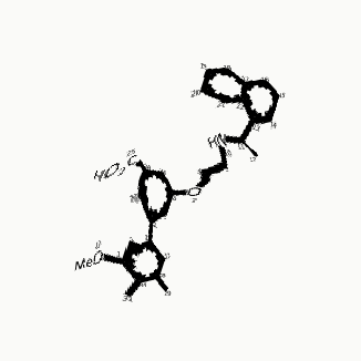 COc1cc(-c2cc(OCCN[C@H](C)c3cccc4ccccc34)cc(C(=O)O)c2)cc(C)c1C